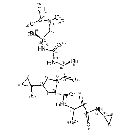 CCCC(NC(=O)[C@@H]1C[C@@H](C2(CC)CC2)CN1C(=O)[C@@H](NC(=O)N[C@H](CN(C)[S+](C)[O-])C(C)(C)C)C(C)(C)C)C(=O)C(=O)NC1CC1